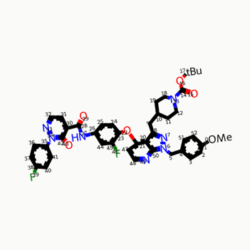 COc1ccc(Cn2nc(CC3CCN(C(=O)OC(C)(C)C)CC3)c3c(Oc4ccc(NC(=O)c5ccnn(-c6ccc(F)cc6)c5=O)cc4F)ccnc32)cc1